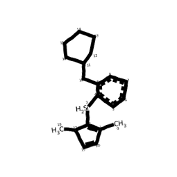 CC1=C([SiH2]c2ccccc2CC2CCCCC2)C(C)C=C1